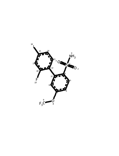 NS(=O)(=O)c1ccc(OC(F)(F)F)cc1-c1ccc(I)cc1F